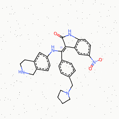 O=C1Nc2ccc([N+](=O)[O-])cc2/C1=C(/Nc1ccc2c(c1)CCNC2)c1ccc(CN2CCCC2)cc1